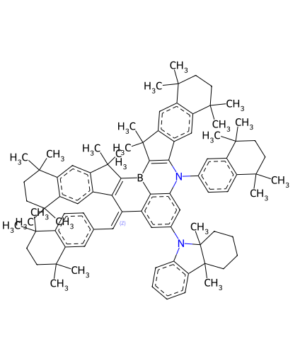 CC1(C)CCC(C)(C)c2cc(/C=C3\C4=C(B5C6=C(c7cc8c(cc7C6(C)C)C(C)(C)CCC8(C)C)N(c6ccc7c(c6)C(C)(C)CCC7(C)C)c6cc(N7c8ccccc8C8(C)CCCCC78C)cc3c65)C(C)(C)c3cc5c(cc34)C(C)(C)CCC5(C)C)ccc21